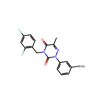 CC(=O)Nc1cccc(-n2nc(C)c(=O)n(Cc3ccc(F)cc3F)c2=O)c1